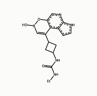 CCNC(=O)NC1CC(C2=CB(O)Oc3cnc4[nH]ccc4c32)C1